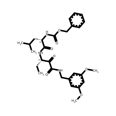 CC[C@H](NC(=O)[C@H](CC(C)C)NC(=O)OCc1ccccc1)C(=O)C(=O)NCc1cc(OC)cc(OC)c1